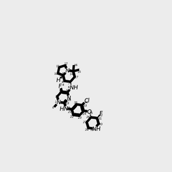 CN1CC(F)=C(N[C@@H]2C[C@@H]3CCCN3C(C)(C)C2)N=C1Nc1ccc(O[C@H]2CCNC[C@@H]2F)c(Cl)c1